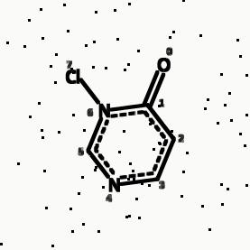 O=c1ccncn1Cl